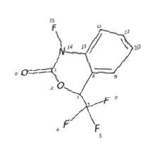 O=C1OC(C(F)(F)F)c2ccccc2N1F